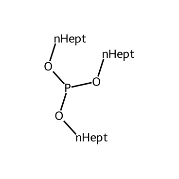 CCCCCCCOP(OCCCCCCC)OCCCCCCC